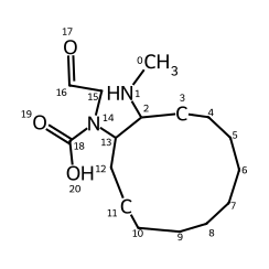 CNC1CCCCCCCCCCC1N(CC=O)C(=O)O